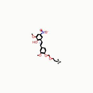 COc1cc(/C=C/c2cc([N+](=O)[O-])cc(OC)c2O)ccc1OCOCC[Si](C)(C)C